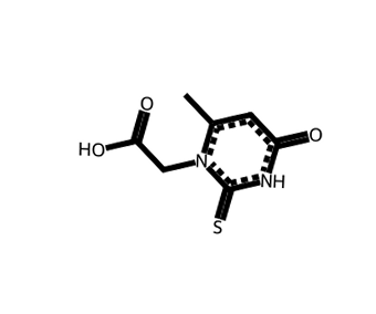 Cc1cc(=O)[nH]c(=S)n1CC(=O)O